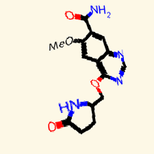 COc1cc2c(OCC3CCC(=O)N3)ncnc2cc1C(N)=O